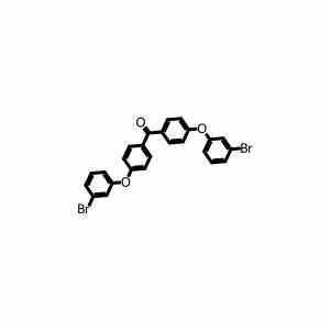 O=C(c1ccc(Oc2cccc(Br)c2)cc1)c1ccc(Oc2cccc(Br)c2)cc1